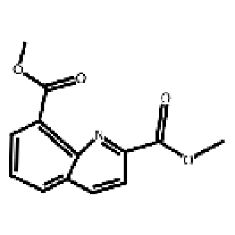 COC(=O)c1ccc2cccc(C(=O)OC)c2n1